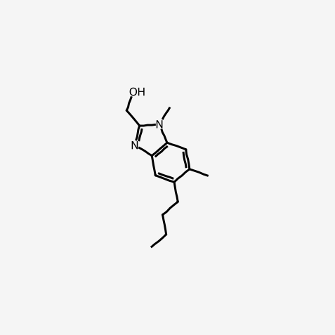 CCCCc1cc2nc(CO)n(C)c2cc1C